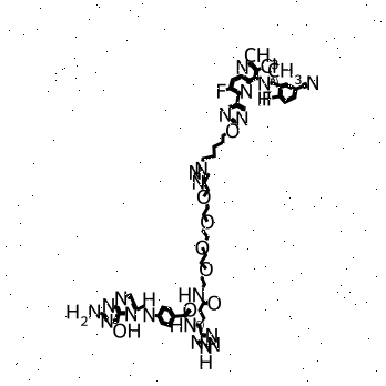 Cc1nc2cc(F)c(-c3cnc(OCCCCCn4cc(COCCOCCOCCOCCNC(=O)CC[C@H](NC(=O)c5ccc(NCc6cnc7nc(N)nc(O)c7n6)cc5)c5nn[nH]n5)nn4)nc3)nc2c(N[C@H](C)c2cc(C#N)ccc2F)c1Cl